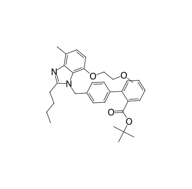 CCCCc1nc2c(C)ccc(OCCOC)c2n1Cc1ccc(-c2ccccc2C(=O)OC(C)(C)C)cc1